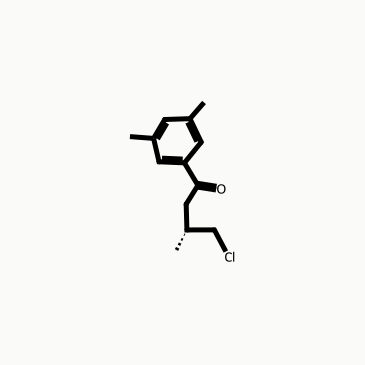 Cc1cc(C)cc(C(=O)C[C@@H](C)CCl)c1